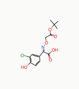 CC(C)(C)OC(=O)CON=C(C(=O)O)c1ccc(O)c(Cl)c1